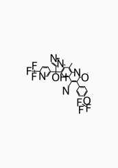 COc1nc2c(C)cc(C(O)(c3ccc(C(F)(F)F)nc3)c3cncn3C)cc2c(C#N)c1-c1ccc(OC(F)(F)F)cc1